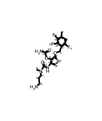 Cc1cc(F)c(COc2nsc(NC(=O)N(C)CCCN)c2OC(N)=O)c(F)c1F